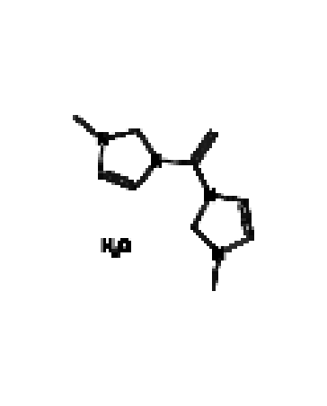 C=C(N1C=CN(C)C1)N1C=CN(C)C1.O